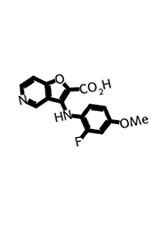 COc1ccc(Nc2c(C(=O)O)oc3ccncc23)c(F)c1